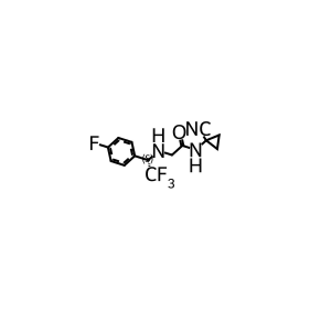 N#CC1(NC(=O)CN[C@@H](c2ccc(F)cc2)C(F)(F)F)CC1